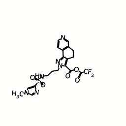 Cn1cnc(S(=O)(=O)NCCCn2nc3c(c2C(=O)OC(=O)C(F)(F)F)CCc2cnccc2-3)c1